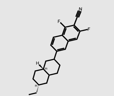 CC[C@@H]1CC[C@@H]2CC(c3ccc4c(F)c(C#N)c(F)cc4c3)CCC2C1